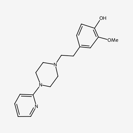 COc1cc(CCN2CCN(c3ccccn3)CC2)ccc1O